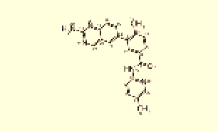 Cc1ccc(NC(=O)c2ccc(C)c(-c3ccc4nc(N)ncc4c3)c2)nc1